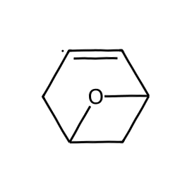 [C]1=CC2CC(C1)O2